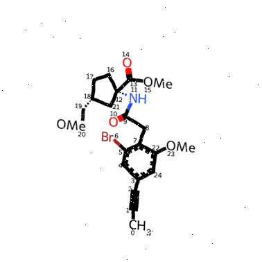 CC#Cc1cc(Br)c(CC(=O)N[C@@]2(C(=O)OC)CC[C@@H](COC)C2)c(OC)c1